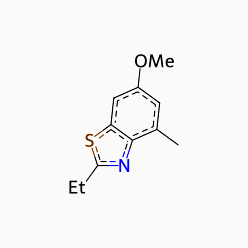 CCc1nc2c(C)cc(OC)cc2s1